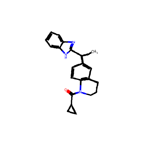 CC(c1ccc2c(c1)CCCN2C(=O)C1CC1)c1nc2ccccc2[nH]1